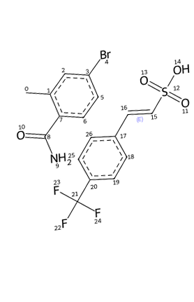 Cc1cc(Br)ccc1C(N)=O.O=S(=O)(O)/C=C/c1ccc(C(F)(F)F)cc1